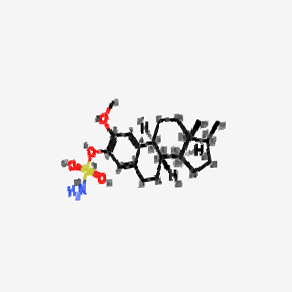 COc1cc2c(cc1OS(N)(=O)=O)CC[C@@H]1[C@@H]2CC[C@]2(C)[C@@H](C)CC[C@@H]12